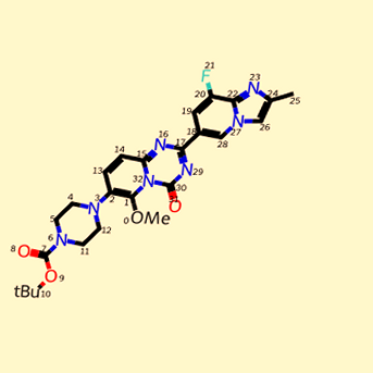 COc1c(N2CCN(C(=O)OC(C)(C)C)CC2)ccc2nc(-c3cc(F)c4nc(C)cn4c3)nc(=O)n12